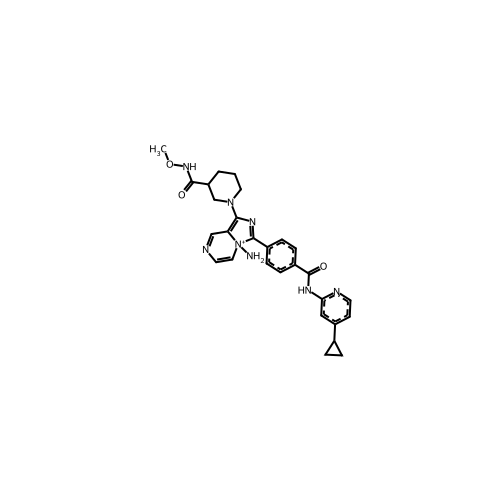 CONC(=O)C1CCCN(C2=C3C=NC=C[N+]3(N)C(c3ccc(C(=O)Nc4cc(C5CC5)ccn4)cc3)=N2)C1